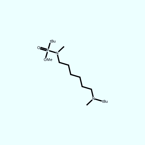 COP(=O)(N(C)CCCCCCN(C)C(C)(C)C)C(C)(C)C